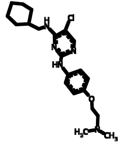 CN(C)CCOc1ccc(Nc2ncc(Cl)c(NCC3CCCCC3)n2)cc1